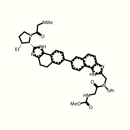 CCCN(Cc1nc2ccc3cc(-c4ccc5c(c4)CCc4nc([C@@H]6[C@H](CC)CCN6C(=O)CNC)[nH]c4-5)ccc3c2[nH]1)C(=O)CNC(=O)OC